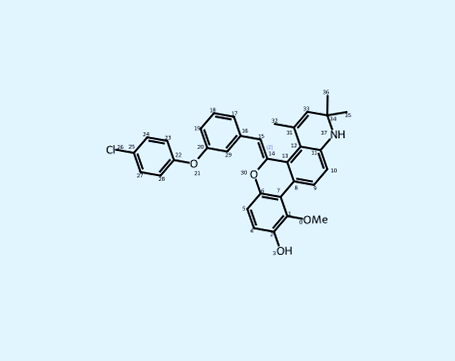 COc1c(O)ccc2c1-c1ccc3c(c1/C(=C/c1cccc(Oc4ccc(Cl)cc4)c1)O2)C(C)=CC(C)(C)N3